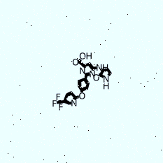 O=C(O)c1cc(N[C@H]2CCNC2=O)nc(-c2ccc(Oc3ccc(C(F)(F)F)cn3)cc2)n1